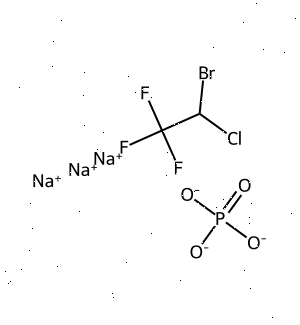 FC(F)(F)C(Cl)Br.O=P([O-])([O-])[O-].[Na+].[Na+].[Na+]